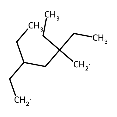 [CH2]CC(CC)CC([CH2])(CC)CC